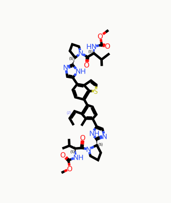 C/C=C\c1c(-c2ccc(-c3cnc([C@@H]4CCCN4C(=O)[C@@H](NC(=O)OC)C(C)C)[nH]3)c3ccsc23)ccc(-c2cnc([C@@H]3CCCN3C(=O)[C@@H](NC(=O)OC)C(C)C)[nH]2)c1C